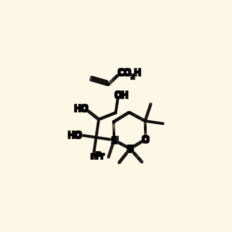 C=CC(=O)O.CCCC(O)(C(O)CO)[Si]1(C)CCC(C)(C)O[Si]1(C)C